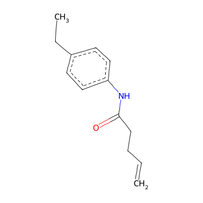 C=CCCC(=O)Nc1ccc(CC)cc1